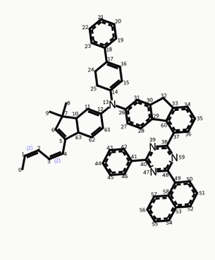 C/C=C\C=C/C1=CC(C)(C)C2C=C(N(C3=CC=C(c4ccccc4)CC3)c3ccc4c(c3)Cc3cccc(-c5nc(-c6ccccc6)nc(-c6cccc7ccccc67)n5)c3-4)C=CC12